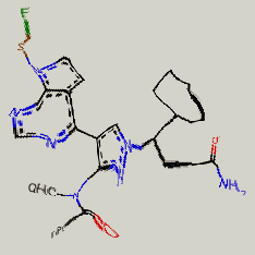 CCCC(=O)N(C=O)c1nn(C(CC(N)=O)C2CCCC2)cc1-c1ncnc2c1ccn2SF